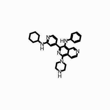 c1ccc(Nc2c(-c3ccnc(NC4CCCCC4)c3)nc(N3CCNCC3)c3ccncc23)cc1